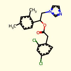 Cc1ccc(C(Cn2ccnc2)OC(=O)Cc2ccc(Cl)cc2Cl)c(C)c1